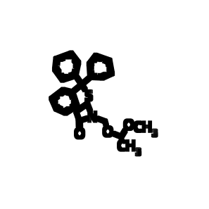 COC(C)OCN1C(=O)CC1SC(c1ccccc1)(c1ccccc1)c1ccccc1